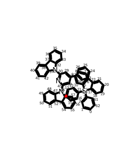 c1ccc([Si](c2ccccc2)(c2ccccc2)c2ccccc2-c2cccc(-c3cc(-n4c5ccccc5c5ccccc54)nc(-n4c5ccccc5c5ccccc54)c3)c2)cc1